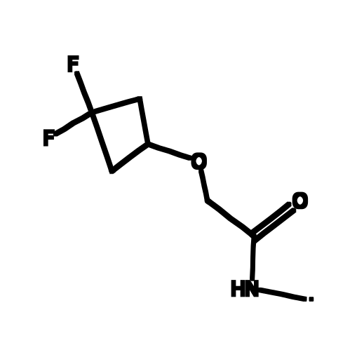 [CH2]NC(=O)COC1CC(F)(F)C1